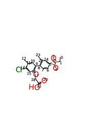 CCS(=O)(=O)c1ccc(-c2cc(C)c(Cl)cc2OCC(=O)O)c(C)c1